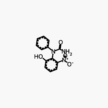 NC(=O)N(c1ccccc1)c1c(O)cccc1[N+](=O)[O-]